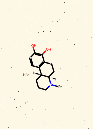 Br.CC(C)N1CCC[C@@H]2c3ccc(O)c(O)c3CC[C@H]21